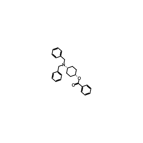 O=C(O[C@H]1CC[C@@H](N(Cc2ccccc2)Cc2ccccc2)CC1)c1ccccc1